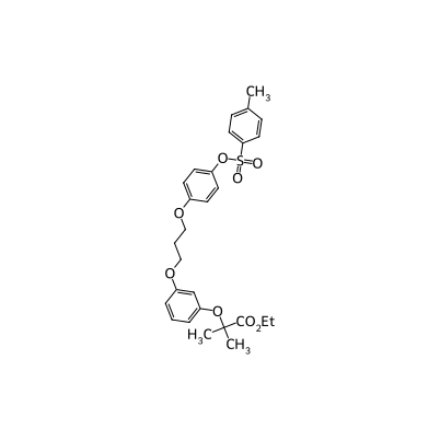 CCOC(=O)C(C)(C)Oc1cccc(OCCCOc2ccc(OS(=O)(=O)c3ccc(C)cc3)cc2)c1